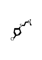 CN(C)CCSc1ccc(Cl)cc1